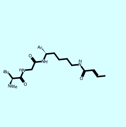 C/C=C/C(=O)NCCCC[C@H](NC(=O)CNC(=O)[C@@H](NC)C(C)CC)C(C)=O